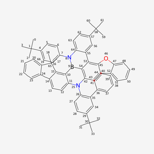 CC(C)(C)c1ccc(N2B3c4c(ccc5c4C(C)(C)c4ccccc4-5)N(c4ccc(C(C)(C)C)cc4-c4ccccc4)c4cc5c(oc6ccccc65)c(c43)-c3cc(C(C)(C)C)ccc32)cc1